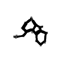 CCc1ccnc2[nH]c3c(c12)CCOC3